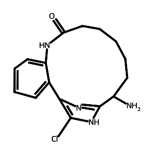 NC1CCCCCC(=O)Nc2ccccc2-c2nc1[nH]c2Cl